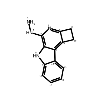 NNc1nc2c(c3c1[nH]c1ccccc13)CC2